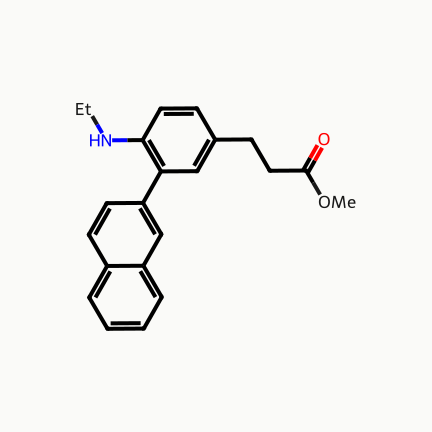 CCNc1ccc(CCC(=O)OC)cc1-c1ccc2ccccc2c1